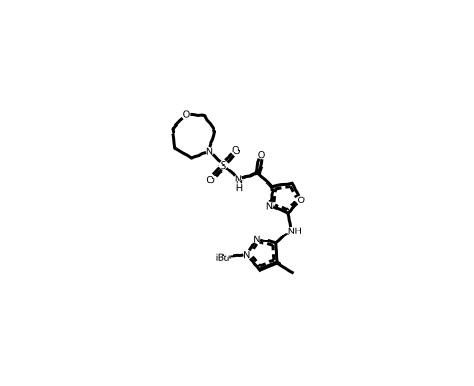 CCC(C)n1cc(C)c(Nc2nc(C(=O)NS(=O)(=O)N3CCCOCC3)co2)n1